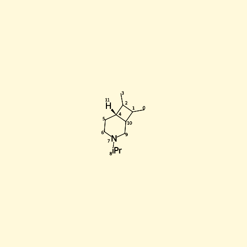 CC1C(C)[C@H]2CCN(C(C)C)CC12